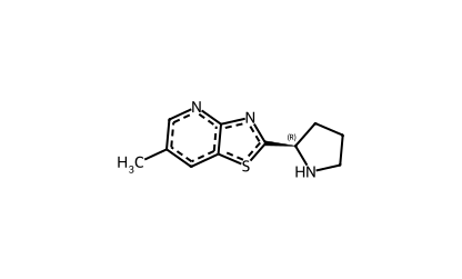 Cc1cnc2nc([C@H]3CCCN3)sc2c1